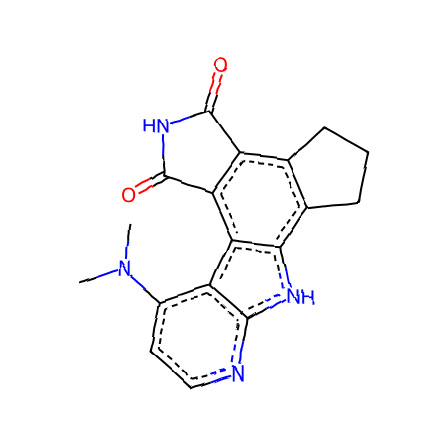 CN(C)c1ccnc2[nH]c3c4c(c5c(c3c12)C(=O)NC5=O)CCC4